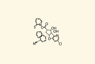 N#Cc1ccc([C@@]23Oc4cc(Cl)cnc4[C@]2(O)[C@H](O)[C@H](C(=O)On2ccccc2=S)[C@H]3c2ccccc2)cc1